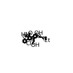 CCN(C)CCCOc1cc2c(cc1O)c1c3c(c(-c4ccccc4Cl)cc1n2CCO)C(=O)NC3=O